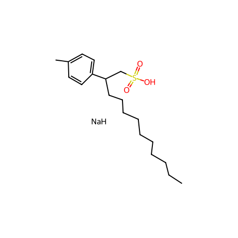 CCCCCCCCCCC(CS(=O)(=O)O)c1ccc(C)cc1.[NaH]